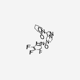 O=C(Nc1cc(F)c(F)c(F)c1)N1CCn2ncc(N3CC4CCC(O4)C3=O)c2C1